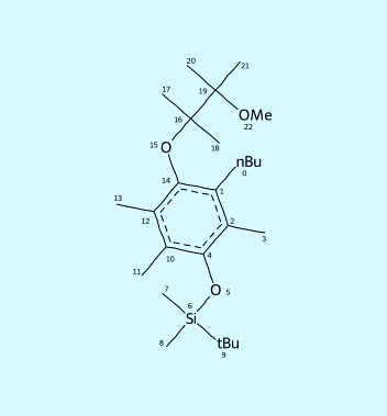 CCCCc1c(C)c(O[Si](C)(C)C(C)(C)C)c(C)c(C)c1OC(C)(C)C(C)(C)OC